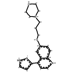 c1cc(-c2cc[nH]n2)c2cc(OCCCN3CCOCC3)ccc2n1